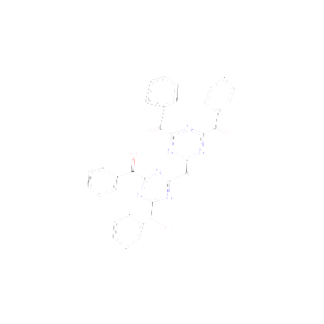 O=C(c1ccccc1)c1nc(C(=O)c2ccccc2)nc(C(=O)c2nc(C(=O)c3ccccc3)nc(C(O)c3ccccc3)n2)n1